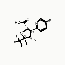 C[C@H]1[C@H](c2ccc(F)cn2)[C@@H](C(=O)O)O[C@@]1(C)C(F)(F)F